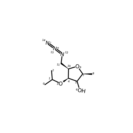 CC(C)O[C@@H]1C(O)[C@H](C)O[C@@H]1CN=[N+]=[N-]